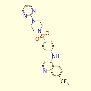 O=S(=O)(c1ccc(Nc2ccnc3cc(C(F)(F)F)ccc23)cc1)N1CCN(c2ncccn2)CC1